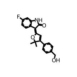 CC1(C)O/C(=C2/C(=O)Nc3cc(F)ccc32)C=C1c1ccc(CO)cc1